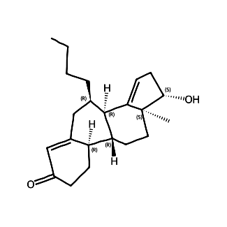 CCCC[C@@H]1CC2=CC(=O)CC[C@@H]2[C@H]2CC[C@@]3(C)C(=CC[C@@H]3O)[C@H]12